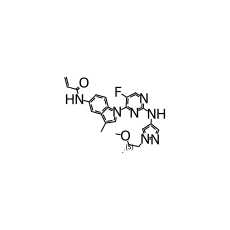 C=CC(=O)Nc1ccc2c(c1)c(C)cn2-c1nc(Nc2cnn(C[C@H](C)OC)c2)ncc1F